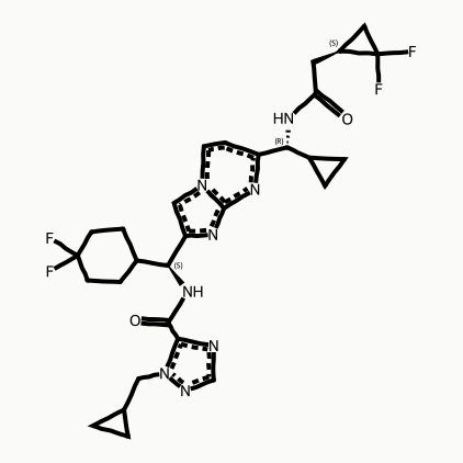 O=C(C[C@H]1CC1(F)F)N[C@@H](c1ccn2cc([C@@H](NC(=O)c3ncnn3CC3CC3)C3CCC(F)(F)CC3)nc2n1)C1CC1